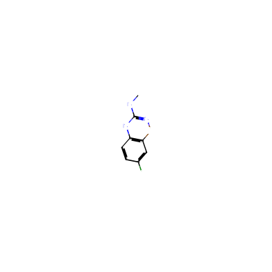 CNC1=NSc2cc(F)ccc2N1